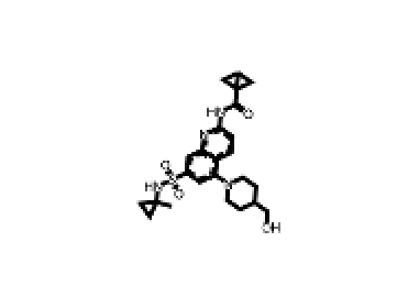 CC1(NS(=O)(=O)c2cc(N3CCC(CO)CC3)c3ccc(NC(=O)C45CC4C5)nc3c2)CC1